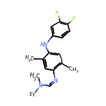 CCN(C)/C=N\c1cc(C)c(Nc2ccc(F)c(F)c2)cc1C